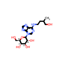 CC(CO)CCNc1ncn(C2O[C@H](CO)[C@@H](O)[C@H](O)[C@H]2O)c2ncnc1-2